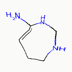 NC1=CCCNCN1